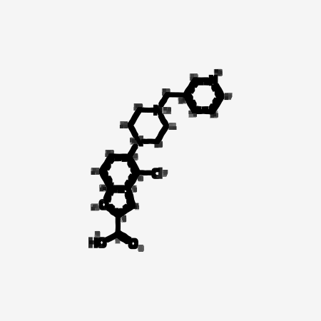 O=C(O)c1cc2c(Cl)c(N3CCN(Cc4cccnc4)CC3)ccc2o1